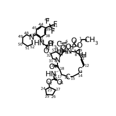 CCOP(=O)(OCC)[C@@]12C[C@H]1/C=C\CCCCC[C@H](NC(=O)OC1CCCC1)C(=O)N1C[C@H](OC(=O)Nc3cc(C(F)(F)F)ccc3N3CCCCC3)C[C@H]1C(=O)N2